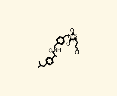 CC(C)Cc1ccc(C(C)C(=O)NCc2ccc(Cn3c(=O)sn(CCCCl)c3=O)cc2)cc1